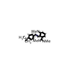 CNc1cccc(C(NC)NC)c1/C=C/c1ccc(N(C)C)cc1